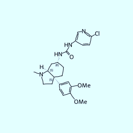 COc1ccc([C@@]23CC[C@@H](NC(=O)Nc4ccc(Cl)nc4)C[C@@H]2N(C)CC3)cc1OC